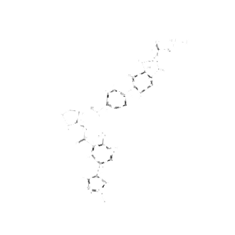 Cn1cc(-c2cnc(N)c(C(=O)N[C@H]3CCC[C@@H]3OCc3ccc(-c4ccc5c(c4)CN(C(=O)OC(C)(C)C)C5)cc3)c2)cn1